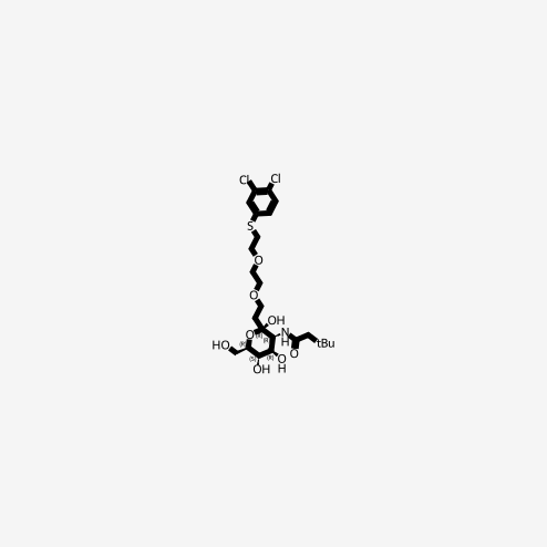 CC(C)(C)CC(=O)N[C@@H]1[C@@H](O)[C@H](O)[C@@H](CO)O[C@]1(O)CCOCCOCCSc1ccc(Cl)c(Cl)c1